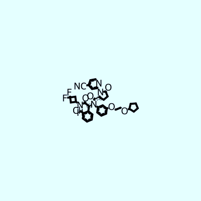 N#Cc1ccnc(N2C(=O)CC[C@H]2C(=O)N(c2cccc(OCCOC3CCCC3)c2)[C@H](C(=O)NC2CC(F)(F)C2)c2ccccc2Cl)c1